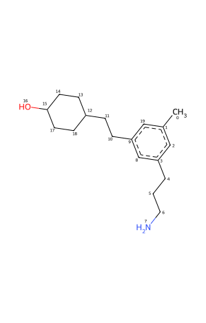 Cc1cc(CCCN)cc(CCC2CCC(O)CC2)c1